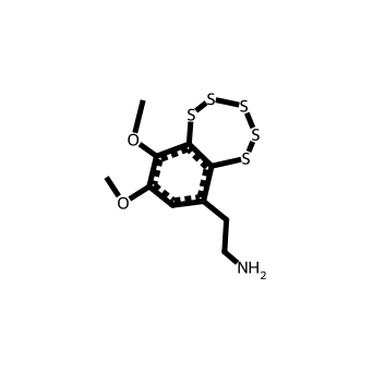 COc1cc(CCN)c2c(c1OC)SSSSS2